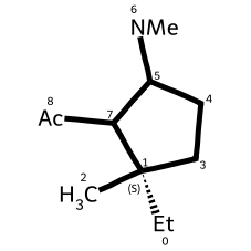 CC[C@@]1(C)CCC(NC)C1C(C)=O